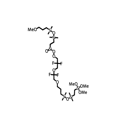 COCCC[Si](C)(C)O[Si](C)(C)CC[Si](=O)OOCC(F)(F)COC(F)(F)COCCC[Si](C)(C)O[Si](C)(C)CC[Si](OC)(OC)OC